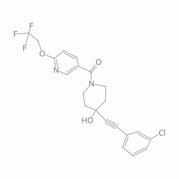 O=C(c1ccc(OCC(F)(F)F)nc1)N1CCC(O)(C#Cc2cccc(Cl)c2)CC1